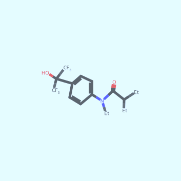 CCC(CC)C(=O)N(CC)c1ccc(C(O)(C(F)(F)F)C(F)(F)F)cc1